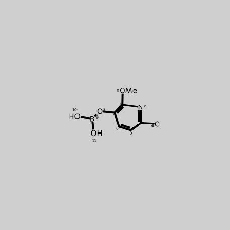 COc1nc(Cl)ccc1OB(O)O